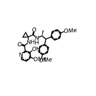 COc1ccc(C(c2ccc(OC)cc2)[C@H](C)NC(=O)C2(NC(=O)c3nccc(OC)c3O)CC2)cc1